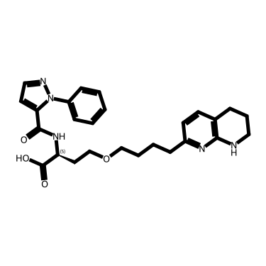 O=C(N[C@@H](CCOCCCCc1ccc2c(n1)NCCC2)C(=O)O)c1ccnn1-c1ccccc1